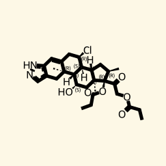 CCC(=O)OCC(=O)[C@@]1(OC(=O)CC)[C@H](C)C[C@H]2[C@H]3[C@H]([C@@H](O)C[C@@]21C)[C@@]1(C)Cc2cn[nH]c2C=C1C[C@H]3Cl